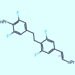 CCC/C=C/c1cc(F)c(CCc2cc(F)c(CCC)c(F)c2)c(F)c1